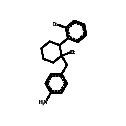 CCc1ccccc1C1CCCCC1(CC)Cc1ccc(N)cc1